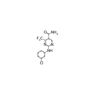 NC(=O)c1cnc(Nc2cccc(Cl)c2)nc1C(F)(F)F